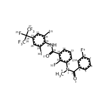 CN(C(=O)c1cccc(F)c1)c1cccc(C(=O)Nc2c(I)cc(C(F)(C(F)(F)F)C(F)(F)F)cc2I)c1F